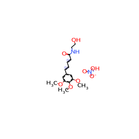 COc1cc(/C=C/C=C/C(=O)NCCO)cc(OC)c1OC.O=[N+]([O-])O